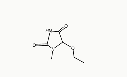 CCOC1C(=O)NC(=O)N1C